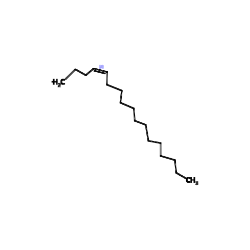 [CH2]CC/C=C\CCCCCCCCCCCC